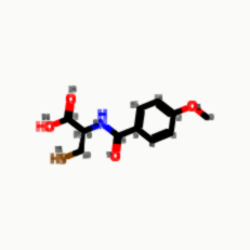 COc1ccc(C(=O)N[C@@H](CS)C(=O)O)cc1